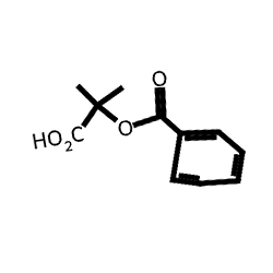 CC(C)(OC(=O)c1ccccc1)C(=O)O